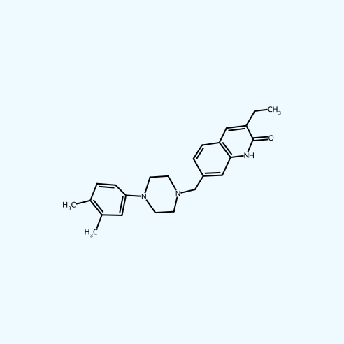 CCc1cc2ccc(CN3CCN(c4ccc(C)c(C)c4)CC3)cc2[nH]c1=O